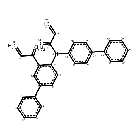 C=CC(=C)c1cc(-c2ccccc2)ccc1N(C(=C)C=C)c1ccc(-c2ccccc2)cc1